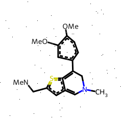 CNCc1cc2c(s1)=C(c1ccc(OC)c(OC)c1)CN(C)C=2